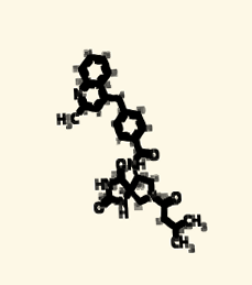 Cc1cc(Cc2ccc(C(=O)N[C@@H]3CN(C(=O)CC(C)C)C[C@]34NC(=O)NC4=O)cc2)c2ccccc2n1